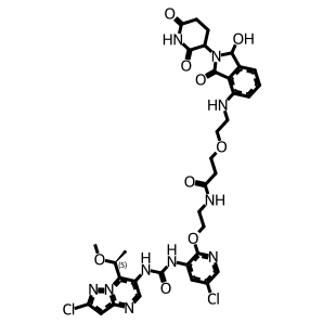 CO[C@@H](C)c1c(NC(=O)Nc2cc(Cl)cnc2OCCNC(=O)CCOCCNc2cccc3c2C(=O)N(C2CCC(=O)NC2=O)C3O)cnc2cc(Cl)nn12